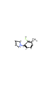 Cc1cccc(N2CCCC2)c1F